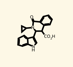 O=C(O)C1c2ccccc2C(=O)N(C2CC2)C1c1c[nH]c2ccccc12